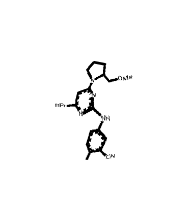 CCCc1cc(N2CCCC2COC)nc(Nc2ccc(C)c(C#N)c2)n1